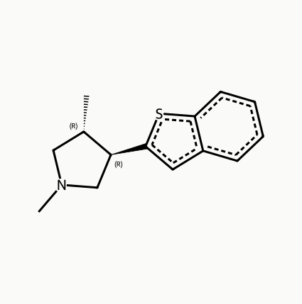 C[C@H]1CN(C)C[C@@H]1c1cc2ccccc2s1